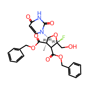 C[C@@]1(C(=O)OCc2ccccc2)C(C(=O)OCc2ccccc2)[C@@](F)(CO)O[C@H]1n1ccc(=O)[nH]c1=O